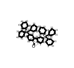 [O-][s+]1c2ccc([Si](c3ccccc3)(c3ccccc3)c3ccccc3)cc2c2cc([Si](c3ccccc3)(c3ccccc3)c3ccccc3)ccc21